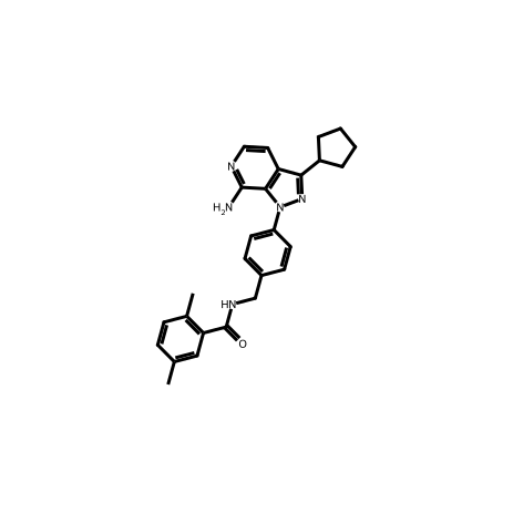 Cc1ccc(C)c(C(=O)NCc2ccc(-n3nc(C4CCCC4)c4ccnc(N)c43)cc2)c1